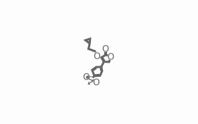 CS(=O)(=O)c1ccc(C2=C(OCCC3CC3)C(=O)OC2)cc1